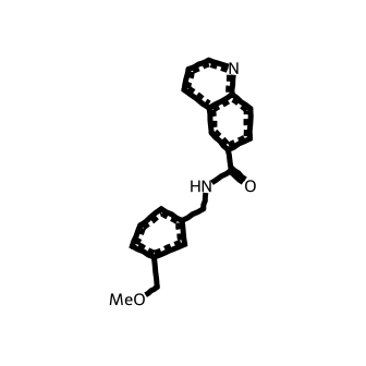 COCc1cccc(CNC(=O)c2ccc3ncccc3c2)c1